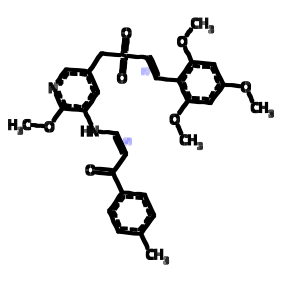 COc1cc(OC)c(/C=C/S(=O)(=O)Cc2cnc(OC)c(N/C=C\C(=O)c3ccc(C)cc3)c2)c(OC)c1